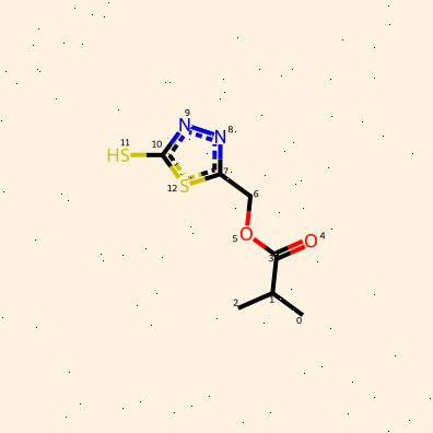 CC(C)C(=O)OCc1nnc(S)s1